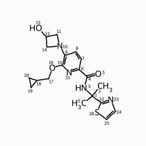 CC(C)(NC(=O)c1ccc(N2CC(O)C2)c(OCC2CC2)n1)c1nccs1